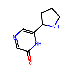 O=c1cncc(C2CCCN2)[nH]1